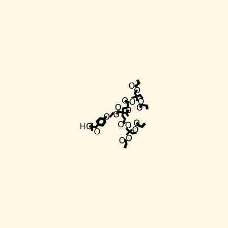 C=CC(=O)OCC(CC)(COC(=O)C=C)COC(=O)CCC(CCC(=O)OCC(CC)(COC(=O)C=C)COC(=O)C=C)(C(C)=O)C(=O)OCCOc1ccc(C(=O)C(C)(C)O)cc1